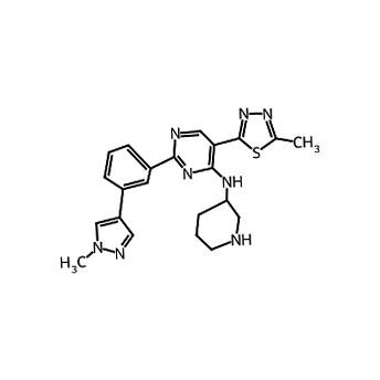 Cc1nnc(-c2cnc(-c3cccc(-c4cnn(C)c4)c3)nc2NC2CCCNC2)s1